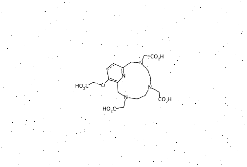 O=C(O)COc1ccc2nc1CN(CC(=O)O)CCN(CC(=O)O)CCN(CC(=O)O)C2